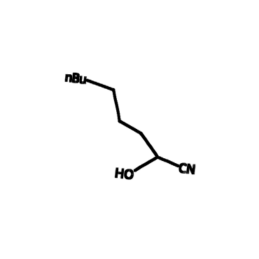 CCCCCCCC(O)C#N